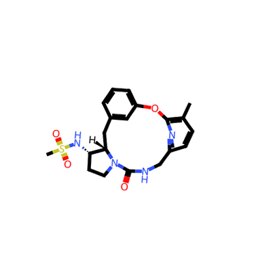 Cc1ccc2nc1Oc1cccc(c1)C[C@H]1[C@@H](NS(C)(=O)=O)CCN1C(=O)NC2